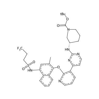 Cc1cc(NS(=O)(=O)CCC(F)(F)F)c2ccccc2c1Oc1ncccc1-c1ccnc(N[C@H]2CCCN(C(=O)OC(C)(C)C)C2)n1